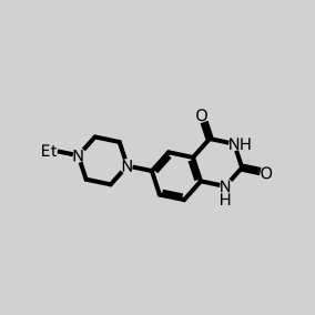 CCN1CCN(c2ccc3[nH]c(=O)[nH]c(=O)c3c2)CC1